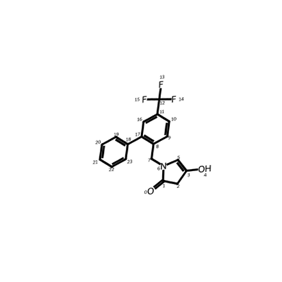 O=C1CC(O)=CN1Cc1ccc(C(F)(F)F)cc1-c1ccccc1